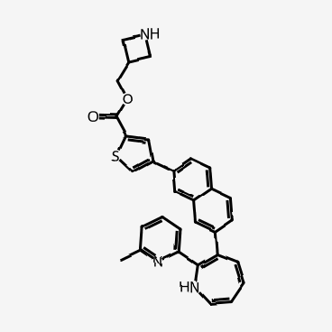 Cc1cccc(C2=C(c3ccc4ccc(-c5csc(C(=O)OCC6CNC6)c5)cc4c3)C=CC=CN2)n1